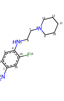 Nc1ccc(NCCN2CCCCC2)c(F)c1